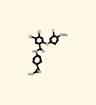 COc1ccc(Oc2cc(Cl)c(Cl)cc2C(=O)Nc2ccc(C3OC3O)cc2)cc1F